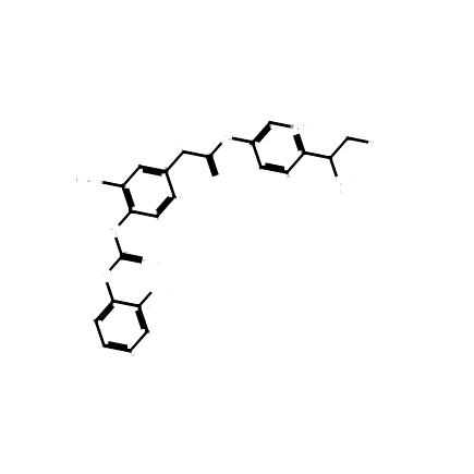 COc1cc(CC(=O)Nc2ccc(C(CC(=O)O)NC(C)=O)nc2)ccc1NC(=O)Nc1ccccc1C